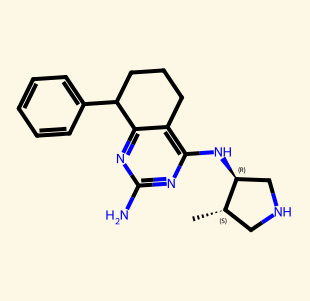 C[C@H]1CNC[C@@H]1Nc1nc(N)nc2c1CCCC2c1ccccc1